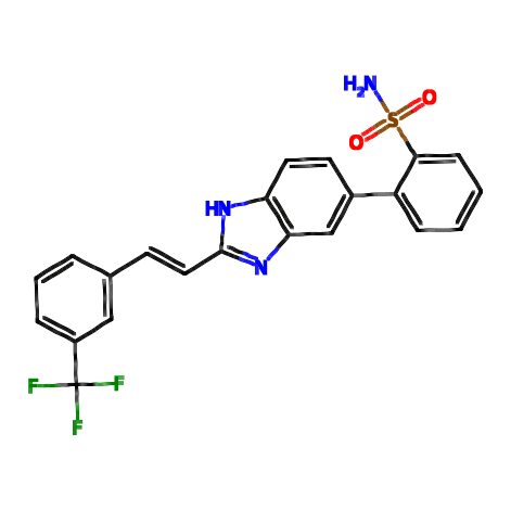 NS(=O)(=O)c1ccccc1-c1ccc2[nH]c(C=Cc3cccc(C(F)(F)F)c3)nc2c1